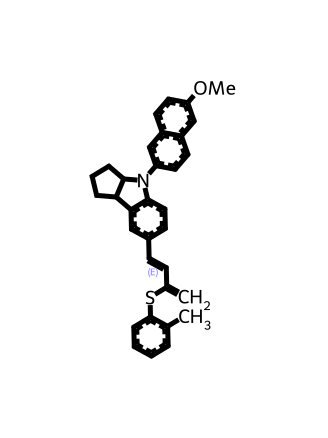 C=C(/C=C/c1ccc2c(c1)C1CCCC1N2c1ccc2cc(OC)ccc2c1)Sc1ccccc1C